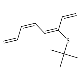 C=C/C=C\C=C(/C=C)SC(C)(C)C